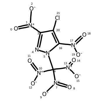 O=[N+]([O-])c1nn(C([N+](=O)[O-])([N+](=O)[O-])[N+](=O)[O-])c([N+](=O)[O-])c1Cl